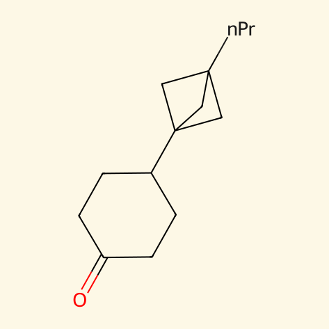 CCCC12CC(C3CCC(=O)CC3)(C1)C2